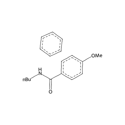 CCCCNC(=O)c1ccc(OC)cc1.c1ccccc1